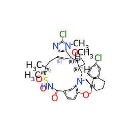 CO[C@@]1(c2cnc(Cl)n2C)/C=C/C[C@H](C)[C@@H](C)S(=O)(=O)NC(=O)c2ccc3c(c2)N(C[C@@H]2CC[C@H]21)C[C@@]1(CCCc2cc(Cl)ccc21)CO3